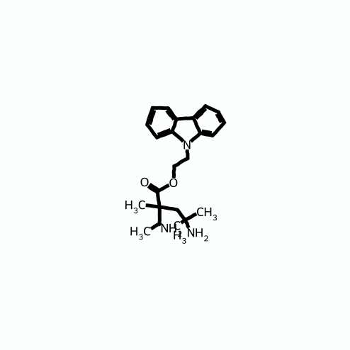 CC(N)C(C)(CC(C)(C)N)C(=O)OCCn1c2ccccc2c2ccccc21